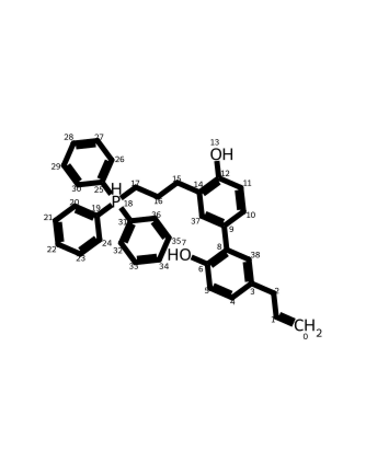 C=CCc1ccc(O)c(-c2ccc(O)c(CCC[PH](c3ccccc3)(c3ccccc3)c3ccccc3)c2)c1